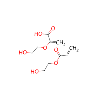 C=C(OCCO)C(=O)O.C=CC(=O)OCCO